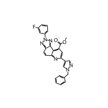 COC(=O)c1cc(-c2cnn(Cc3ccccc3)c2)nc2ccc3nn(-c4cccc(F)c4)nc3c12